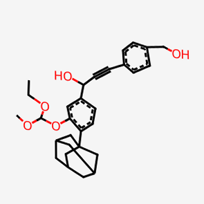 CCOC(OC)Oc1cc(C(O)C#Cc2ccc(CO)cc2)ccc1C12CC3CC(CC(C3)C1)C2